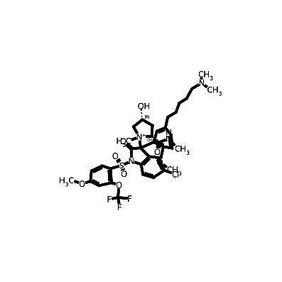 CNC(=O)[C@@H]1C[C@@H](O)C[N+]1(C)C1(c2cc(CCCCCN(C)C)ccc2OC)C(=O)N(S(=O)(=O)c2ccc(OC)cc2OC(F)(F)F)c2ccc(Cl)cc21